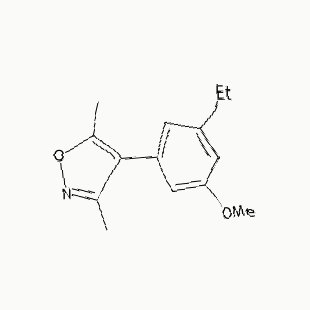 CCc1cc(OC)cc(-c2c(C)noc2C)c1